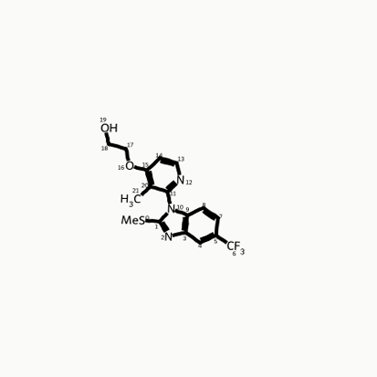 CSc1nc2cc(C(F)(F)F)ccc2n1-c1nccc(OCCO)c1C